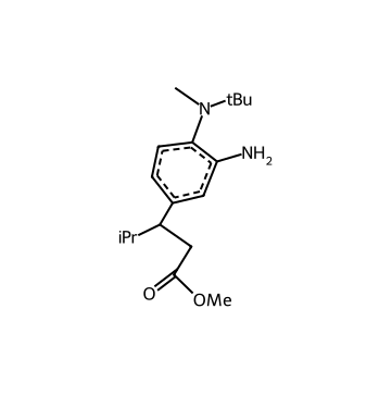 COC(=O)CC(c1ccc(N(C)C(C)(C)C)c(N)c1)C(C)C